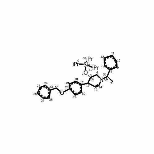 CC(C)[Si](O[C@@H]1CN([C@H](C)c2ccccc2)C=CC1c1ccc(OCc2ccccc2)cc1)(C(C)C)C(C)C